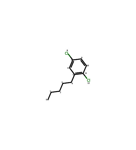 CCCCCc1cc(Cl)ccc1Cl